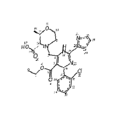 CCOC(=O)C1=C(CN2CCO[C@H](C)[C@H]2C(=O)O)NC(c2nccs2)=NC1c1ccccc1Cl